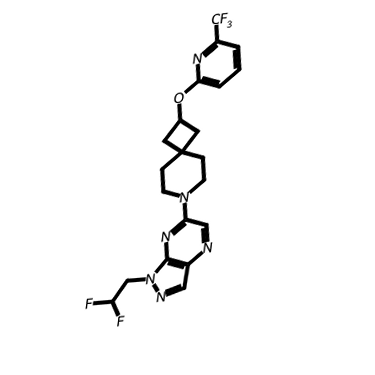 FC(F)Cn1ncc2ncc(N3CCC4(CC3)CC(Oc3cccc(C(F)(F)F)n3)C4)nc21